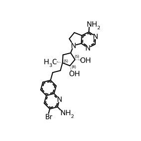 C[C@]1(CCc2ccc3cc(Br)c(N)nc3c2)CC(N2CCc3c(N)ncnc32)[C@H](O)[C@@H]1O